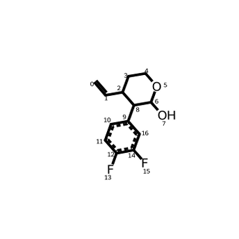 C=CC1CCOC(O)C1c1ccc(F)c(F)c1